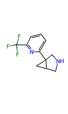 FC(F)(F)c1cccc(C23CNCC2C3)n1